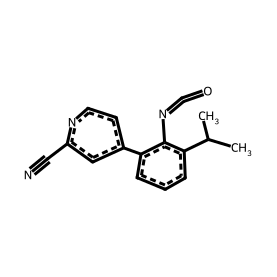 CC(C)c1cccc(-c2ccnc(C#N)c2)c1N=C=O